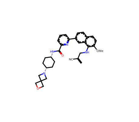 C=C(C#N)CNc1c(OC)ccc2ccc(-c3cccc(C(=O)N[C@H]4CC[C@@H](N5CC6(COC6)C5)CC4)n3)cc12